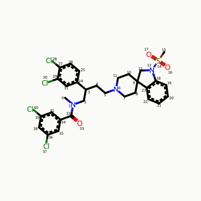 CN(CC(CCN1CCC2(CC1)CN(S(C)(=O)=O)c1ccccc12)c1ccc(Cl)c(Cl)c1)C(=O)c1cc(Cl)cc(Cl)c1